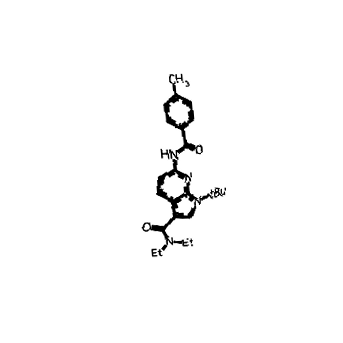 CCN(CC)C(=O)c1cn(C(C)(C)C)c2nc(NC(=O)c3ccc(C)cc3)ccc12